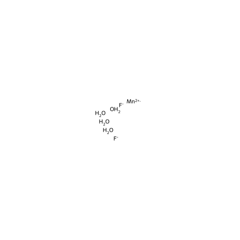 O.O.O.O.[F-].[F-].[Mn+2]